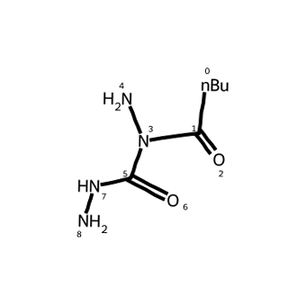 [CH2]CCCC(=O)N(N)C(=O)NN